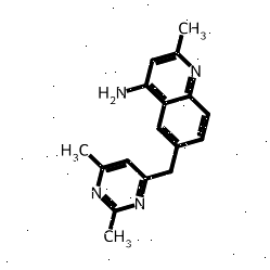 Cc1cc(Cc2ccc3nc(C)cc(N)c3c2)nc(C)n1